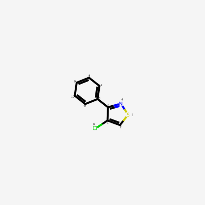 Clc1[c]snc1-c1ccccc1